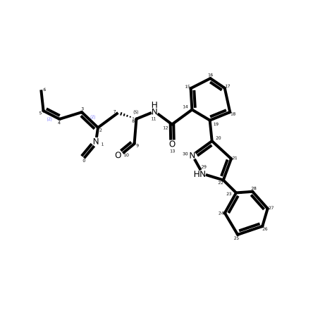 C=N/C(=C\C=C/C)C[C@@H](C=O)NC(=O)c1ccccc1-c1cc(-c2ccccc2)[nH]n1